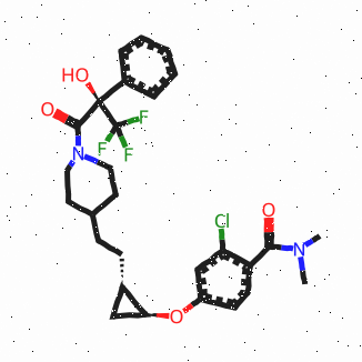 CN(C)C(=O)c1ccc(O[C@H]2C[C@@H]2CCC2CCN(C(=O)[C@](O)(c3ccccc3)C(F)(F)F)CC2)cc1Cl